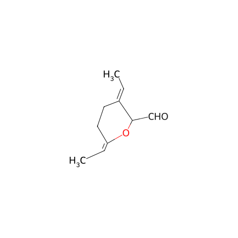 C/C=C1\CC/C(=C\C)C(C=O)O1